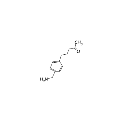 CC(=O)CCCc1ccc(CN)cc1